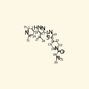 Cc1cc(-c2[nH]nc(-c3ncc(C4CCN(C(=O)CN(C)C)CC4)s3)c2C(C)C)cc(C)n1